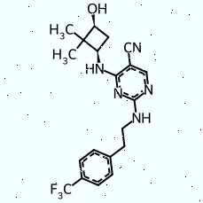 CC1(C)[C@@H](O)C[C@H]1Nc1nc(NCCc2ccc(C(F)(F)F)cc2)ncc1C#N